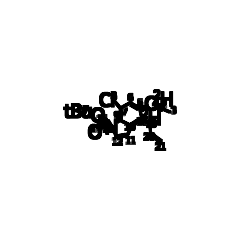 [2H]C([2H])(C)Oc1cc(Cl)c2c(ccn2C(=O)OC(C)(C)C)c1CC=C